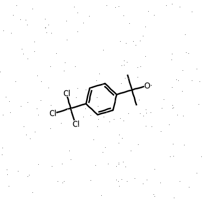 CC(C)([O])c1ccc(C(Cl)(Cl)Cl)cc1